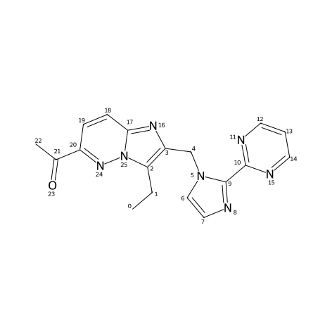 CCc1c(Cn2ccnc2-c2ncccn2)nc2ccc(C(C)=O)nn12